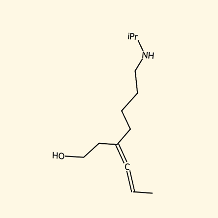 CC=C=C(CCO)CCCCNC(C)C